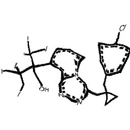 OC(c1cccn2c(C3(c4ccc(Cl)cc4)CC3)nnc12)(C(I)(I)I)C(I)(I)I